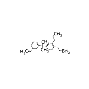 BCCc1ccc(C(C)(C)c2cccc(C=C)c2)cc1CC=C